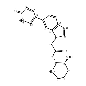 O=C(C[C@H]1NCCC[C@@H]1O)Cn1cnc2ccc(-c3ccc(=O)[nH]c3)cc21